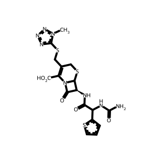 Cn1nnnc1SCC1=C(C(=O)O)N2C(=O)[C@H](NC(=O)C(NC(N)=O)c3cccs3)C2SC1